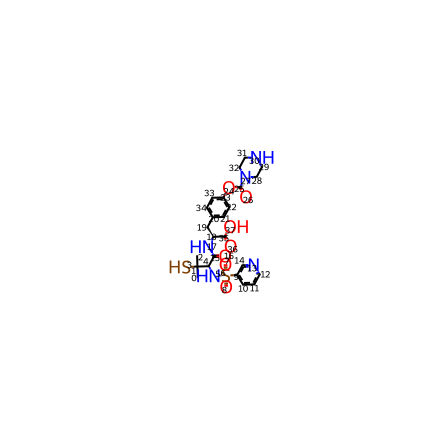 CC(C)(S)[C@H](NS(=O)(=O)c1cccnc1)C(=O)N[C@@H](Cc1ccc(OC(=O)N2CCNCC2)cc1)C(=O)O